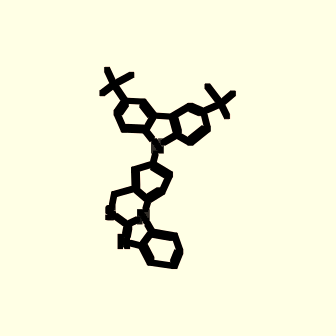 CC(C)(C)c1ccc2c(c1)c1cc(C(C)(C)C)ccc1n2-c1ccc2c(c1)CSc1nc3ccccc3n1-2